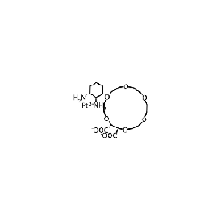 N[C@@H]1CCCC[C@H]1N.O=C([O-])[C@H]1OCCOCCOCCOCCOCCO[C@H]1C(=O)[O-].[Pt+2]